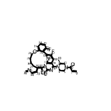 C=CC(=O)N1CCN(c2nc(=O)n3c4nc(c(F)cc24)-c2c(F)cccc2OCCCCC(/C=C\N=C)=C\3CC)[C@@H](C)C1